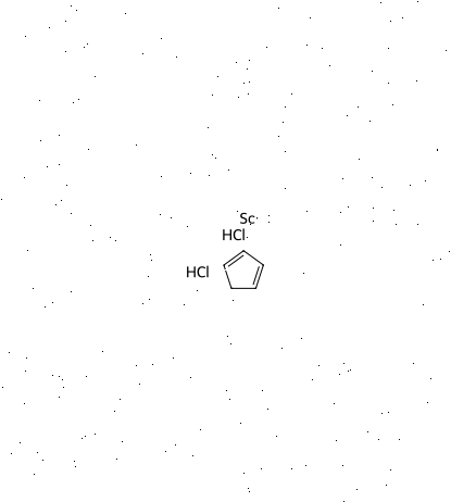 C1=CCC=C1.Cl.Cl.[Sc]